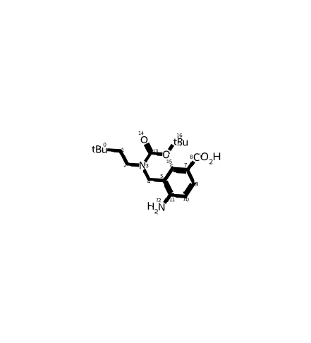 CC(C)(C)CCN(Cc1cc(C(=O)O)ccc1N)C(=O)OC(C)(C)C